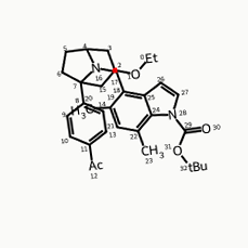 CCOC1CC2CCC(c3ccc(C(C)=O)cc3)(C1)N2Cc1c(C)cc(C)c2c1ccn2C(=O)OC(C)(C)C